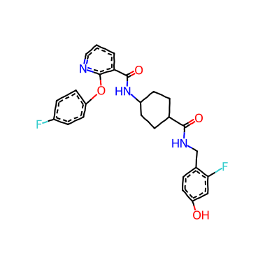 O=C(NC1CCC(C(=O)NCc2ccc(O)cc2F)CC1)c1cccnc1Oc1ccc(F)cc1